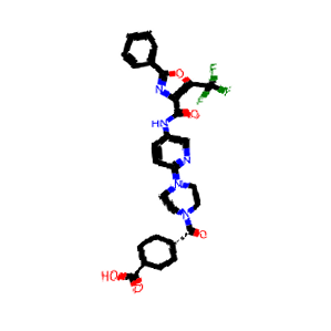 O=C(Nc1ccc(N2CCN(C(=O)[C@H]3CC[C@H](C(=O)O)CC3)CC2)nc1)c1nc(-c2ccccc2)oc1C(F)(F)F